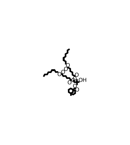 CCCCC/C=C\CCOC(=O)CCCCC(=O)OCC(CO)(COC(=O)CCCCC(=O)OCC/C=C\CCCCC)COC(=O)C12CCCC(C)(CCC1)C2